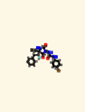 CC1(C(F)Cc2ccccc2)NC(=O)N(NC(=O)Nc2ccc(Br)cc2)C1=O